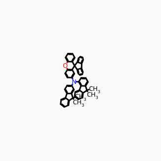 CC1(C)c2ccccc2-c2ccc(N(c3ccc4c(c3)C3(c5ccccc5O4)c4ccccc4-c4ccccc43)c3cccc4c3-c3ccccc3C4(C)C)cc21